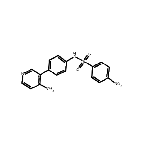 Cc1ccncc1-c1ccc(NS(=O)(=O)c2ccc([N+](=O)[O-])cc2)cc1